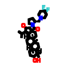 CC(C)C1=C2[C@H]3CC[C@@H]4[C@@]5(C)CC[C@H](O)C(C)(C)[C@@H]5CC[C@@]4(C)[C@]3(C)CC[C@@]2(C(=O)N2CCC[C@H]2CN2CCC(F)(F)CC2)CC1=O